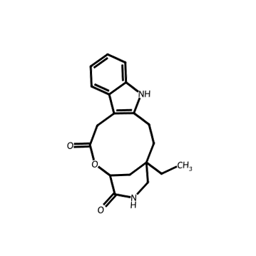 CCC12CCc3[nH]c4ccccc4c3CC(=O)OC(C1)C(=O)NC2